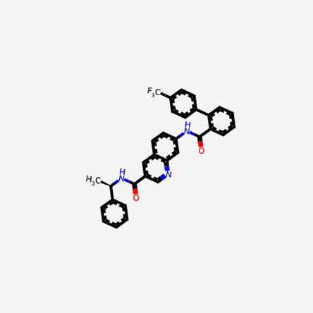 C[C@@H](NC(=O)c1cnc2cc(NC(=O)c3ccccc3-c3ccc(C(F)(F)F)cc3)ccc2c1)c1ccccc1